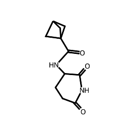 O=C1CCC(NC(=O)C23CC(C2)C3)C(=O)N1